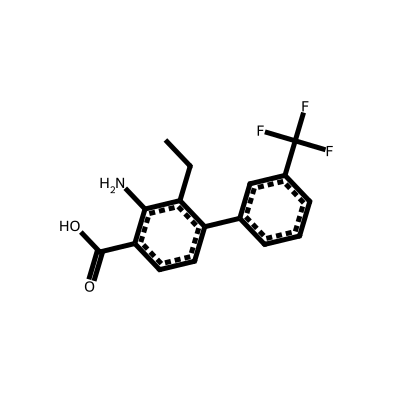 CCc1c(-c2cccc(C(F)(F)F)c2)ccc(C(=O)O)c1N